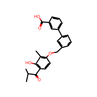 Cc1c(OCc2cccc(-c3cccc(C(=O)O)c3)c2)ccc(C(=O)C(C)C)c1O